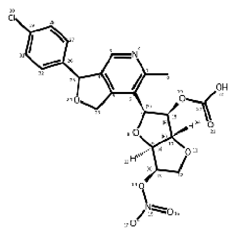 Cc1ncc2c(c1[C@@H]1O[C@H]3[C@@H](OC[C@H]3O[N+](=O)[O-])[C@@H]1OC(=O)O)COC2c1ccc(Cl)cc1